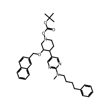 CN(CCCCc1ccccc1)c1ncc(C2CCN(OC(=O)OC(C)(C)C)CC2OCc2ccc3ccccc3c2)cn1